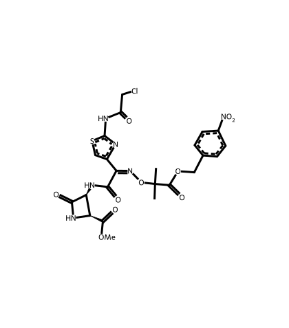 COC(=O)[C@H]1NC(=O)[C@H]1NC(=O)C(=NOC(C)(C)C(=O)OCc1ccc([N+](=O)[O-])cc1)c1csc(NC(=O)CCl)n1